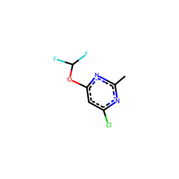 Cc1nc(Cl)cc(OC(F)F)n1